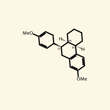 COC1=CCC([C@@H]2Cc3cc(OC)ccc3[C@@H]3CCCC[C@@H]32)C=C1